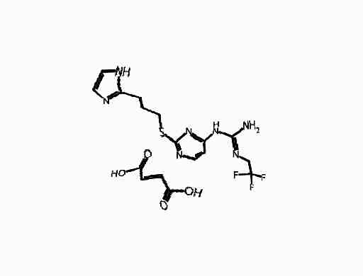 NC(=NCC(F)(F)F)Nc1ccnc(SCCCc2ncc[nH]2)n1.O=C(O)C=CC(=O)O